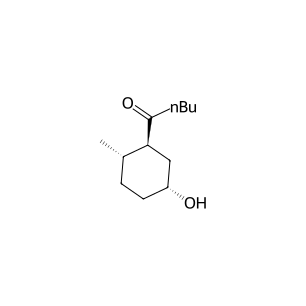 CCCCC(=O)[C@H]1C[C@H](O)CC[C@@H]1C